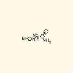 Nc1cc(-c2ccnc(Nc3ccc(Br)cc3)n2)cc(N2CCCCC2)c1